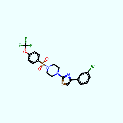 O=S(=O)(c1ccc(OC(F)(F)F)cc1)N1CCN(c2nc(-c3cccc(Br)c3)cs2)CC1